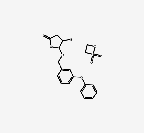 CC(C)C1CC(=O)OC1OCc1cccc(Oc2ccccc2)c1.O=S1(=O)CCO1